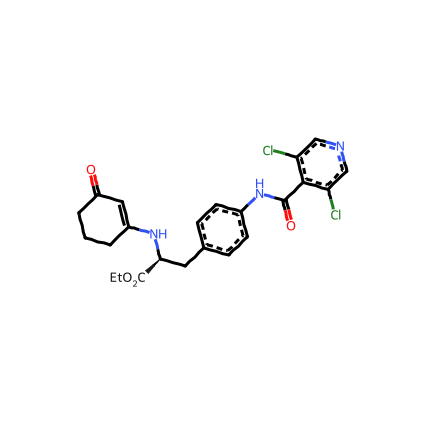 CCOC(=O)[C@H](Cc1ccc(NC(=O)c2c(Cl)cncc2Cl)cc1)NC1=CC(=O)CCC1